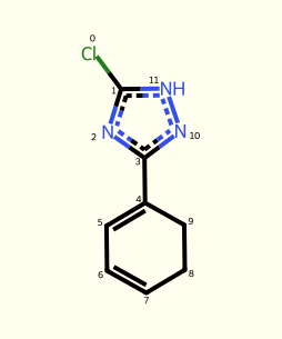 Clc1nc(C2=CC=CCC2)n[nH]1